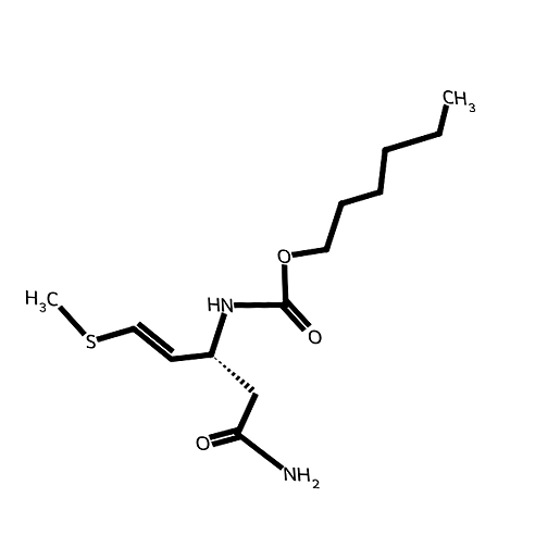 CCCCCCOC(=O)N[C@@H](/C=C/SC)CC(N)=O